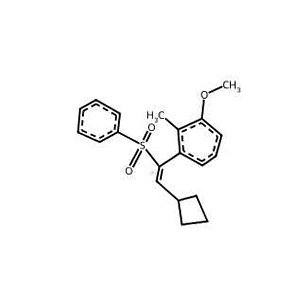 COc1cccc(/C(=C\C2CCC2)S(=O)(=O)c2ccccc2)c1C